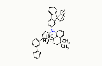 CC1(C)CCC(C)(C)c2c(N(c3ccc(-c4cccc(-c5ccccc5)c4)cc3)c3ccc4c(c3)C3(c5ccccc5-4)C4CC5CC(C4)C3C5)cccc21